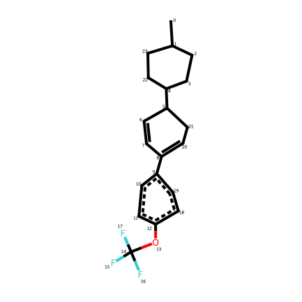 CC1CCC(C2C=CC(c3ccc(OC(F)(F)F)cc3)=CC2)CC1